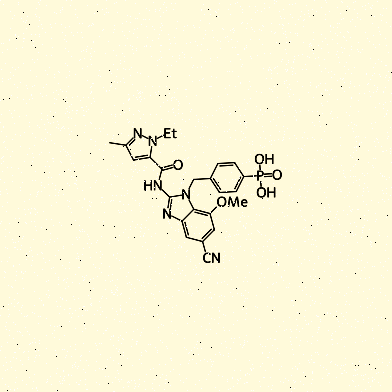 CCn1nc(C)cc1C(=O)Nc1nc2cc(C#N)cc(OC)c2n1Cc1ccc(P(=O)(O)O)cc1